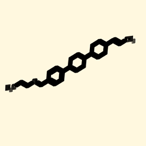 C/C=C/C1CCC(C2CCC(c3ccc(COCCC)cc3)CC2)CC1